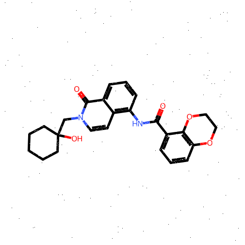 O=C(Nc1cccc2c(=O)n(CC3(O)CCCCC3)ccc12)c1cccc2c1OCCO2